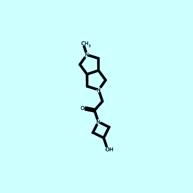 CN1CC2CN(CC(=O)N3CC(O)C3)CC2C1